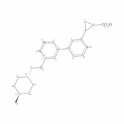 CCOC(=O)C1CC1c1cc(-c2cnnc(OC[C@H]3CC[C@H](C)CC3)c2)ccn1